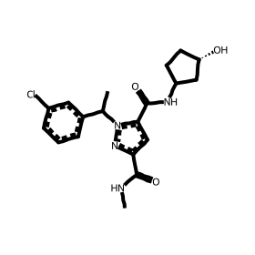 CNC(=O)c1cc(C(=O)NC2CC[C@H](O)C2)n(C(C)c2cccc(Cl)c2)n1